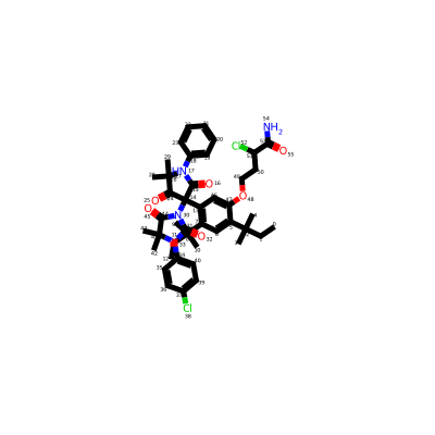 CCC(C)(C)c1cc(C(C)(C)CC)c(C(C(=O)Nc2ccccc2)(C(=O)C(C)(C)C)N2C(=O)N(c3ccc(Cl)cc3)C(C)(C)C2=O)cc1OCCC(Cl)C(N)=O